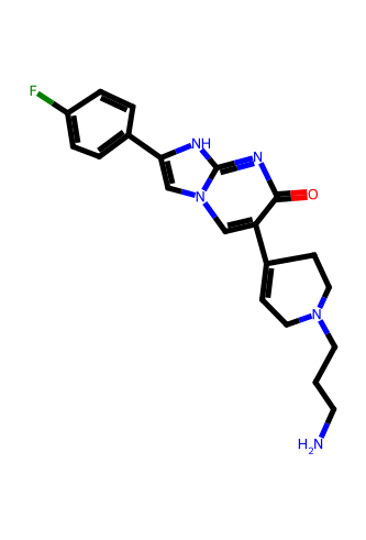 NCCCN1CC=C(c2cn3cc(-c4ccc(F)cc4)[nH]c3nc2=O)CC1